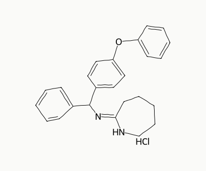 Cl.c1ccc(Oc2ccc(C(N=C3CCCCCN3)c3ccccc3)cc2)cc1